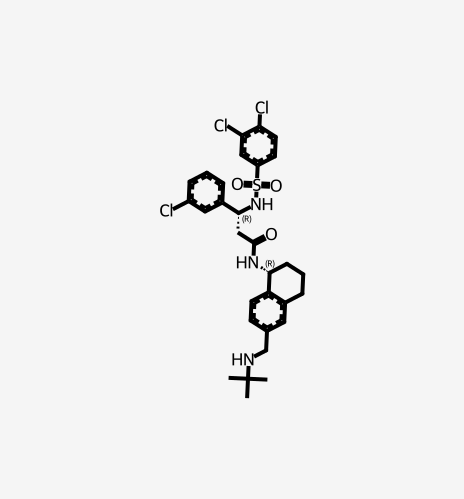 CC(C)(C)NCc1ccc2c(c1)CCC[C@H]2NC(=O)C[C@@H](NS(=O)(=O)c1ccc(Cl)c(Cl)c1)c1cccc(Cl)c1